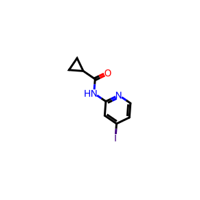 O=C(Nc1cc(I)ccn1)C1CC1